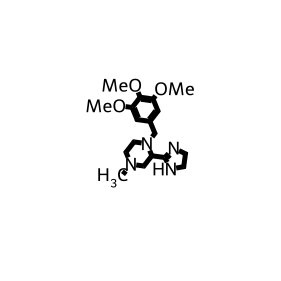 COc1cc(CN2CCN(C)CC2C2=NCCN2)cc(OC)c1OC